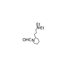 CCN(CC)CCCC1CCCCN1C=O